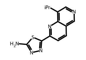 CC(C)c1cncc2ccc(-c3nnc(N)s3)nc12